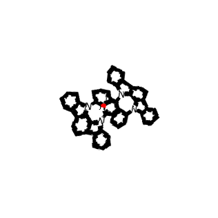 c1ccc(-n2c3ccccc3c3ccc4c5ccccc5n(-c5ccc(-n6c7ccccc7c7ccc8c9ccccc9n(-c9ccccc9)c8c76)nn5)c4c32)cc1